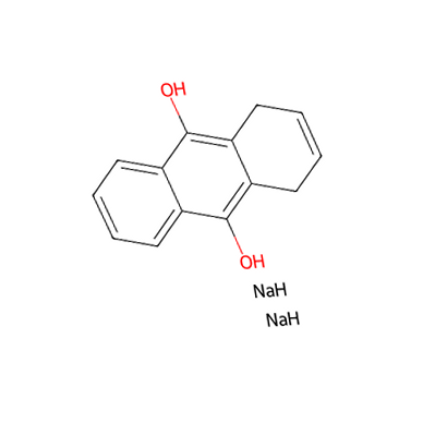 Oc1c2c(c(O)c3ccccc13)CC=CC2.[NaH].[NaH]